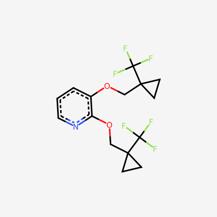 FC(F)(F)C1(COc2cccnc2OCC2(C(F)(F)F)CC2)CC1